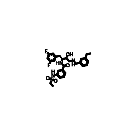 CCc1cccc(CNC[C@H](O)[C@H](Cc2cc(F)cc(F)c2)NC(=O)c2cccc(NS(=O)(=O)CC)c2)c1